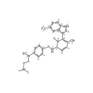 CCN(CCN(C)C)c1ccc(CNC2N=CC(C#N)=C(c3c[nH]c4ncc(C(F)(F)F)cc34)N2C)cn1